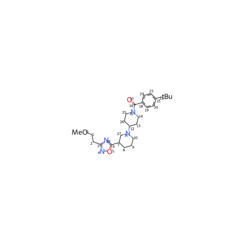 COCCc1noc(C2CCCN(C3CCN(C(=O)c4ccc(C(C)(C)C)cc4)CC3)C2)n1